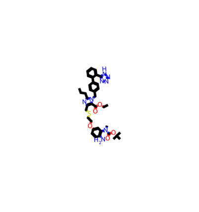 CCCc1nc(CSCCOc2ccc(N)c(N(C)C(=O)OC(C)(C)C)c2)c(C(=O)OCC)n1Cc1ccc(-c2ccccc2-c2nnn[nH]2)cc1